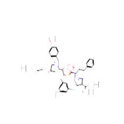 C=CCO[C@@H]1C[C@H]([C@@H](O)[C@H](Cc2cc(F)cc(F)c2)OC(=O)C(CCc2ccccc2)N2CCC(C(C)C)C2=O)N(Cc2ccc(OC)cc2)C1